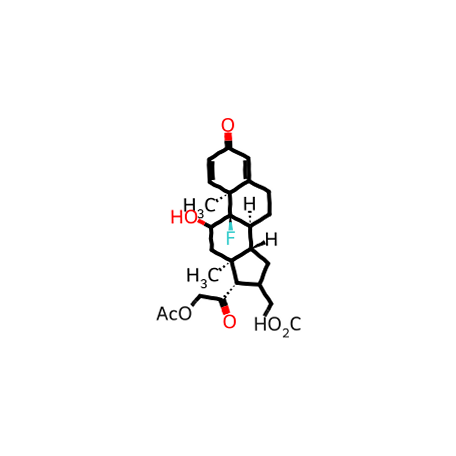 CC(=O)OCC(=O)[C@H]1C(CC(=O)O)C[C@H]2[C@@H]3CCC4=CC(=O)C=C[C@]4(C)[C@@]3(F)C(O)C[C@]12C